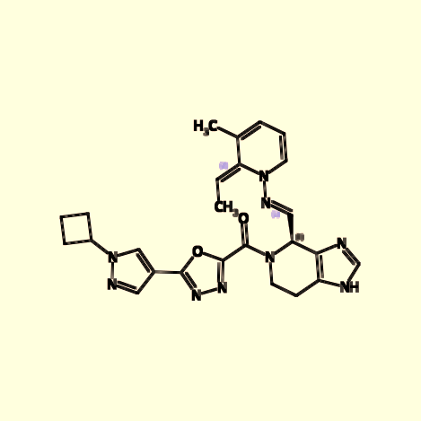 C/C=C1/C(C)=CC=CN1/N=C/[C@H]1c2nc[nH]c2CCN1C(=O)c1nnc(-c2cnn(C3CCC3)c2)o1